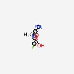 C[C@@H](c1ccc(-c2cnccn2)cc1)N1CC[C@](CCCO)(c2ccc(F)cc2)OC1=O